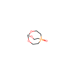 O=P12CCOB(OCC1)OCC2